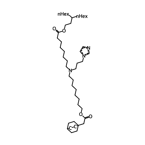 CCCCCCC(CCCCCC)CCOC(=O)CCCCCCCN(CCCCCCCCOC(=O)CC12CCC(CC1)CC2)CCCn1ccnc1